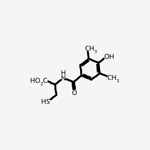 Cc1cc(C(=O)NC(CS)C(=O)O)cc(C)c1O